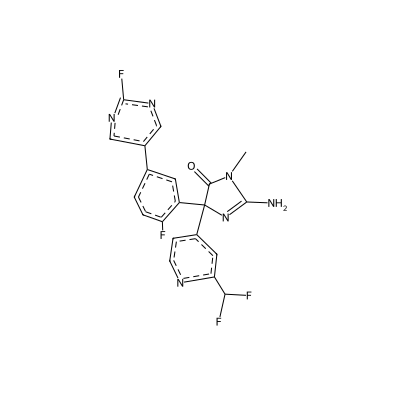 CN1C(=O)C(c2ccnc(C(F)F)c2)(c2cc(-c3cnc(F)nc3)ccc2F)N=C1N